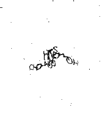 CC1=CSc2cc(CCCO)cc3c(=O)c(C(=O)NCc4ccc(Cl)cc4)cn1c23